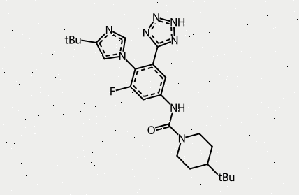 CC(C)(C)c1cn(-c2c(F)cc(NC(=O)N3CCC(C(C)(C)C)CC3)cc2-c2nn[nH]n2)cn1